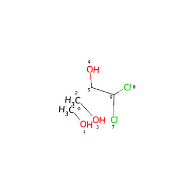 CO.CO.OCC(Cl)Cl